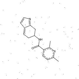 Cc1ccc(C(=O)NC2CC=C3C=CN=C3C2)c(C)n1